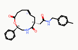 Cc1ccc(CNC(=O)C[C@H]2C/C=C/CCC(=O)O[C@H](c3ccccc3)CNC2=O)cc1